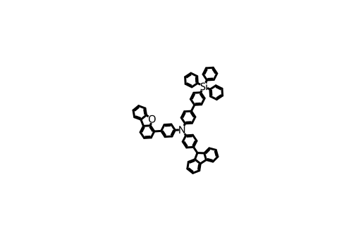 c1ccc([Si](c2ccccc2)(c2ccccc2)c2ccc(-c3ccc(N(c4ccc(-c5cccc6c5oc5ccccc56)cc4)c4ccc(C5c6ccccc6-c6ccccc65)cc4)cc3)cc2)cc1